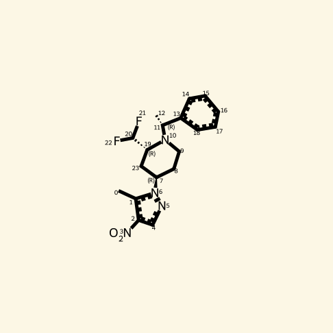 Cc1c([N+](=O)[O-])cnn1[C@@H]1CCN([C@H](C)c2ccccc2)[C@@H](C(F)F)C1